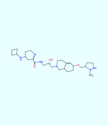 CN1NCCC1COC1C=C2CCN(C[C@@H](O)CNC(=O)C3=NCCC(NC4CCC4)C3)CC2CC1